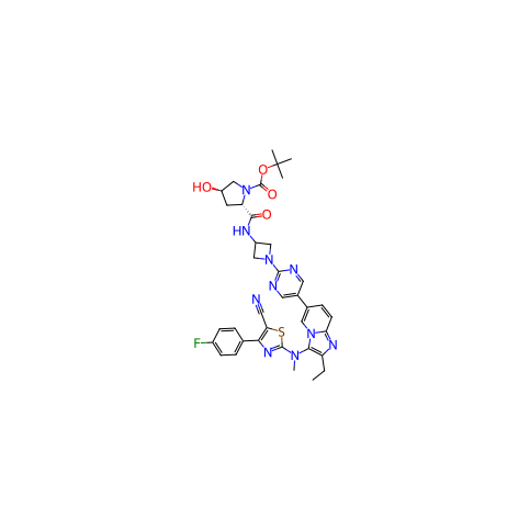 CCc1nc2ccc(-c3cnc(N4CC(NC(=O)[C@@H]5C[C@@H](O)CN5C(=O)OC(C)(C)C)C4)nc3)cn2c1N(C)c1nc(-c2ccc(F)cc2)c(C#N)s1